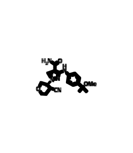 COC(C)(C)c1ccc(Nc2nn([C@@H]3COCCC3C#N)cc2C(N)=O)cc1